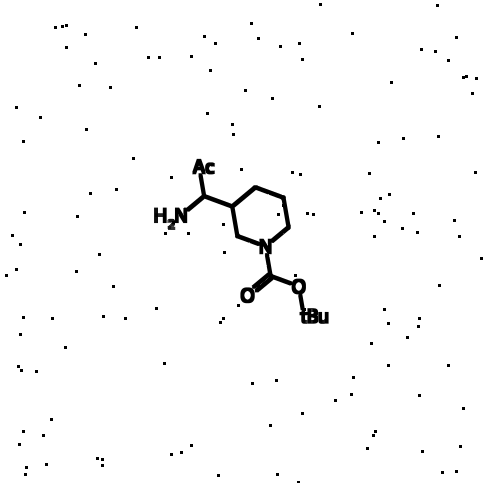 CC(=O)C(N)C1CCCN(C(=O)OC(C)(C)C)C1